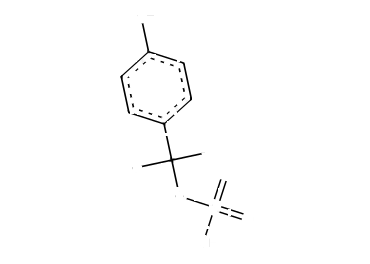 CCOC(=O)C(C)(OS(C)(=O)=O)c1ccc(C)cc1